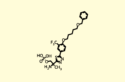 C[C@](N)(COP(=O)(O)O)c1nnc(-c2ccc(OCCCCCOCc3ccccc3)c(C(F)(F)F)c2)s1